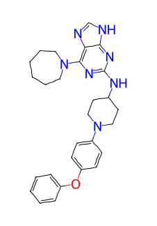 c1ccc(Oc2ccc(N3CCC(Nc4nc(N5CCCCCC5)c5nc[nH]c5n4)CC3)cc2)cc1